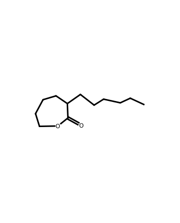 CCCCCCC1CCCCOC1=O